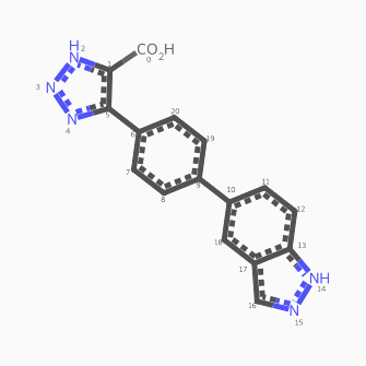 O=C(O)c1[nH]nnc1-c1ccc(-c2ccc3[nH]ncc3c2)cc1